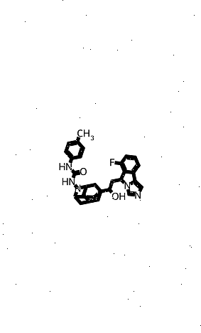 Cc1ccc(NC(=O)NN2C3CC4CC2CC(C(O)CC2c5c(F)cccc5-c5cncn52)(C4)C3)cc1